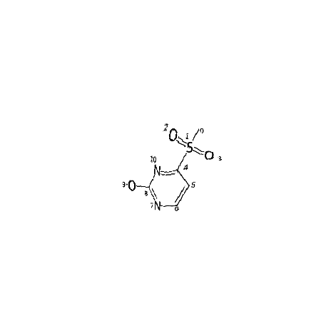 CS(=O)(=O)c1ccnc([O])n1